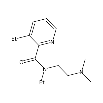 CCc1cccnc1C(=O)N(CC)CCN(C)C